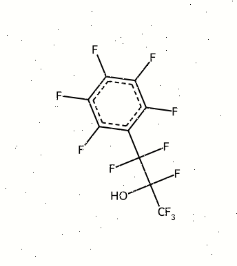 OC(F)(C(F)(F)F)C(F)(F)c1c(F)c(F)c(F)c(F)c1F